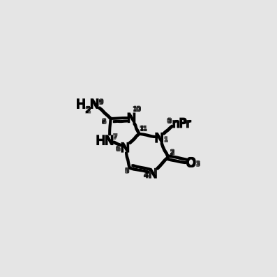 CCCN1C(=O)N=CN2NC(N)=NC21